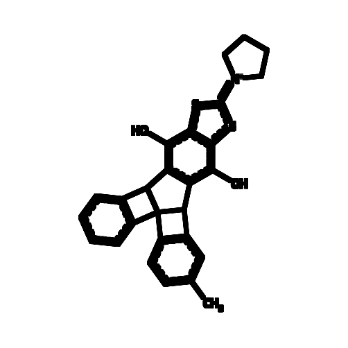 Cc1ccc2c(c1)C1c3c(c(O)c4sc(=[N+]5CCCC5)sc4c3O)C3c4ccccc4C231